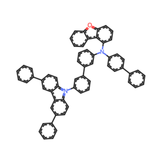 c1ccc(-c2ccc(N(c3cccc(-c4cccc(-n5c6ccc(-c7ccccc7)cc6c6cc(-c7ccccc7)ccc65)c4)c3)c3cccc4oc5ccccc5c34)cc2)cc1